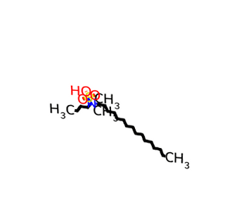 CCCCCCCCCCCCCCCC(C)(C)N(CCCC)S(=O)(=O)O